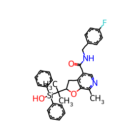 Cc1ncc(C(=O)NCc2ccc(F)cc2)c2c1OC(C(C)(C)[Si](O)(c1ccccc1)c1ccccc1)C2